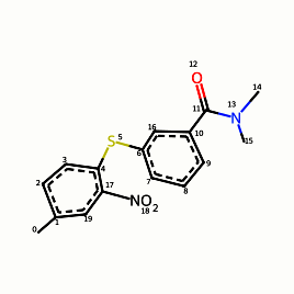 Cc1ccc(Sc2cccc(C(=O)N(C)C)c2)c([N+](=O)[O-])c1